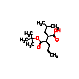 C=CC[C@@H](C(=O)OC(C)(C)C)[C@@H](CC(C)C)C(=O)O